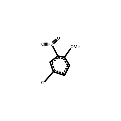 COc1ccc(Cl)cc1[SH](=O)=O